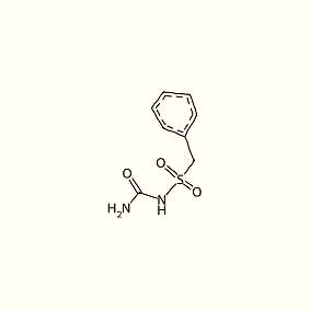 NC(=O)NS(=O)(=O)Cc1ccccc1